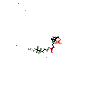 O=C(CCC(=O)C1C2CC3C1OS(=O)(=O)C3C2)OCCCC(F)(F)C(F)(F)S(=O)(=O)O